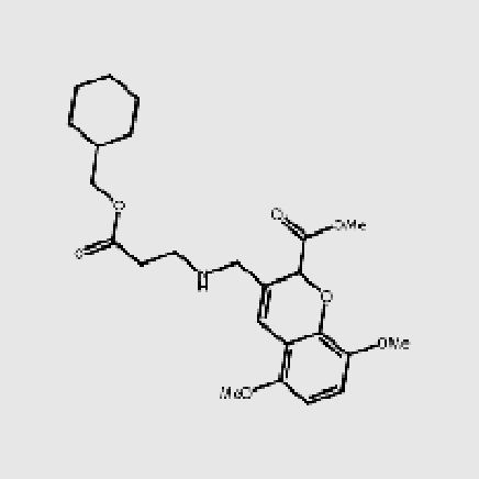 COC(=O)C1Oc2c(OC)ccc(OC)c2C=C1CNCCC(=O)OCC1CCCCC1